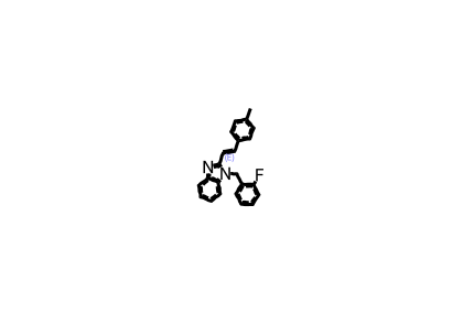 Cc1ccc(/C=C/c2nc3ccccc3n2Cc2ccccc2F)cc1